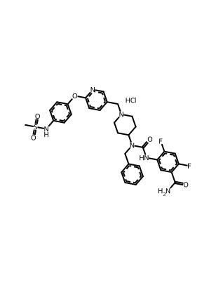 CS(=O)(=O)Nc1ccc(Oc2ccc(CN3CCC(N(Cc4ccccc4)C(=O)Nc4cc(C(N)=O)c(F)cc4F)CC3)cn2)cc1.Cl